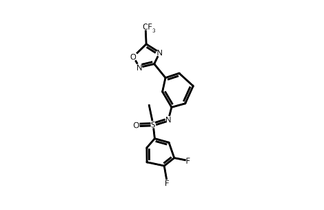 CS(=O)(=Nc1cccc(-c2noc(C(F)(F)F)n2)c1)c1ccc(F)c(F)c1